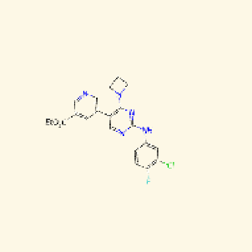 CCOC(=O)c1cncc(-c2cnc(Nc3ccc(F)c(Cl)c3)nc2N2CCC2)c1